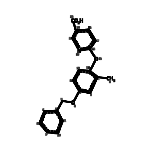 Cc1cc(OCc2ccccc2)ccc1Oc1ccc(C(=O)O)cn1